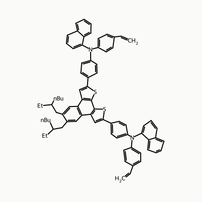 C=Cc1ccc(N(c2ccc(-c3cc4c5cc(CC(CC)CCCC)c(CC(CC)CCCC)cc5c5cc(-c6ccc(N(c7ccc(C=C)cc7)c7cccc8ccccc78)cc6)sc5c4s3)cc2)c2cccc3ccccc23)cc1